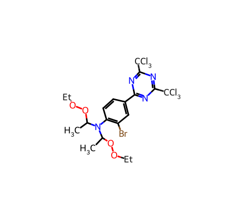 CCOOC(C)N(c1ccc(-c2nc(C(Cl)(Cl)Cl)nc(C(Cl)(Cl)Cl)n2)cc1Br)C(C)OOCC